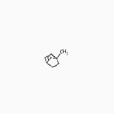 CC12CCC(CC1)O2